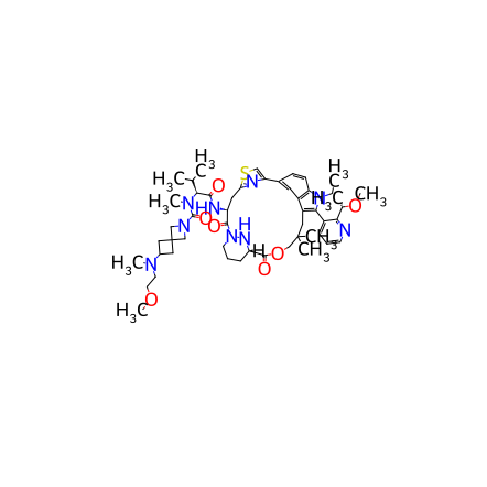 CCn1c(-c2cccnc2[C@H](C)OC)c2c3cc(ccc31)-c1csc(n1)C[C@H](NC(=O)[C@H](C(C)C)N(C)C(=O)N1CC3(CC(N(C)CCOC)C3)C1)C(=O)N1CCC[C@H](N1)C(=O)OCC(C)(C)C2